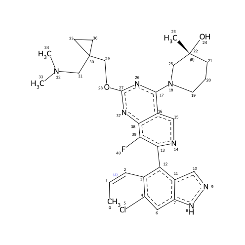 C/C=C\c1c(Cl)cc2[nH]ncc2c1-c1ncc2c(N3CCC[C@@](C)(O)C3)nc(OCC3(CN(C)C)CC3)nc2c1F